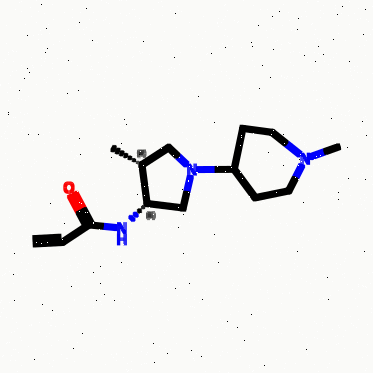 C=CC(=O)N[C@H]1CN(C2CCN(C)CC2)C[C@H]1C